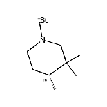 C[C@@H]1CCN(C(C)(C)C)CC1(C)C